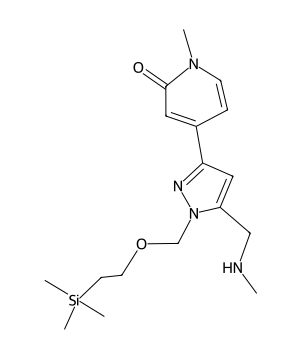 CNCc1cc(-c2ccn(C)c(=O)c2)nn1COCC[Si](C)(C)C